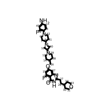 Nc1ccc(N2CCC(N3CC(N4CCC(COc5cc(F)c6c(=O)[nH]c(CCC7CCOCC7)nc6c5)CC4)C3)CC2)c(F)c1